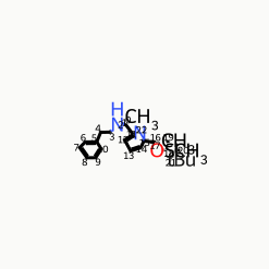 CC(NCCc1ccccc1)c1cccc(CO[Si](C)(C)C(C)(C)C)n1